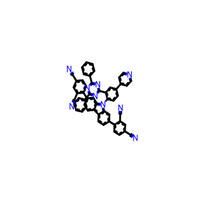 N#Cc1ccc(-c2ccc3c4ccc(-c5ccc(C#N)cc5C#N)cc4n(-c4ccc(-c5ccncc5)cc4-c4nc(-c5ccccc5)nc(-c5ccccc5)n4)c3c2)c(C#N)c1